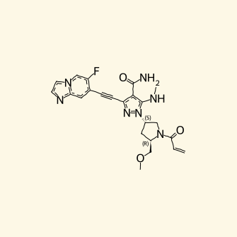 C=CC(=O)N1C[C@@H](n2nc(C#Cc3cc4nccn4cc3F)c(C(N)=O)c2NC)C[C@@H]1COC